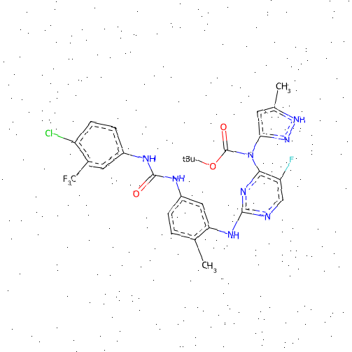 Cc1cc(N(C(=O)OC(C)(C)C)c2nc(Nc3cc(NC(=O)Nc4ccc(Cl)c(C(F)(F)F)c4)ccc3C)ncc2F)n[nH]1